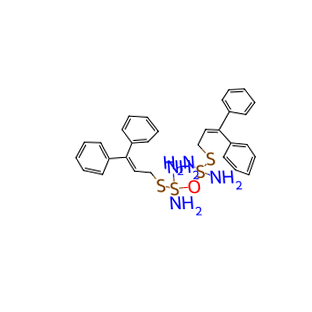 NS(N)(OS(N)(N)SCC=C(c1ccccc1)c1ccccc1)SCC=C(c1ccccc1)c1ccccc1